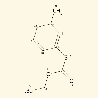 CC1C=C(SC(=O)OCC(C)(C)C)C=CC1